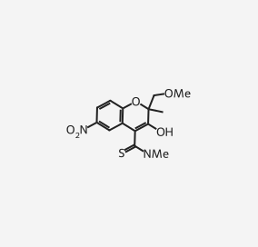 CNC(=S)C1=C(O)C(C)(COC)Oc2ccc([N+](=O)[O-])cc21